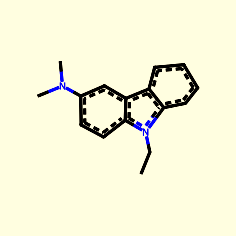 CCn1c2ccccc2c2cc(N(C)C)ccc21